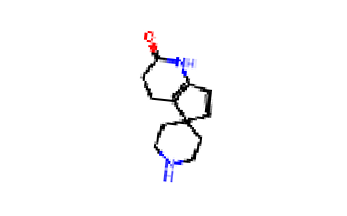 O=C1CCC2=C(C=CC23CCNCC3)N1